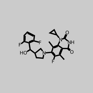 Cc1c(F)c(N2CCC(C(O)c3c(F)cccc3F)C2)c(C)c2c1c(=O)[nH]c(=O)n2C1CC1